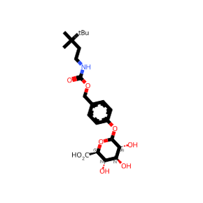 CC(C)(C)C(C)(C)CCNC(=O)OCc1ccc(OC2O[C@H](C(=O)O)[C@@H](O)[C@H](O)[C@H]2O)cc1